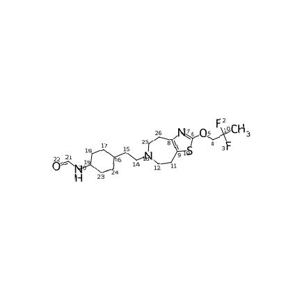 CC(F)(F)COc1nc2c(s1)CCN(CCC1CCC(NC=O)CC1)CC2